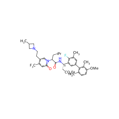 CCOC(=O)C[C@H](NC(=O)C(CC(C)C)n1cc(CCN2CC(C)C2)c(C(F)(F)F)cc1=O)c1cc(-c2c(C)ccc(OC)c2C)cc(C)c1F